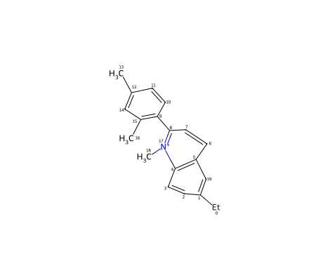 CCc1ccc2c(ccc(-c3ccc(C)cc3C)[n+]2C)c1